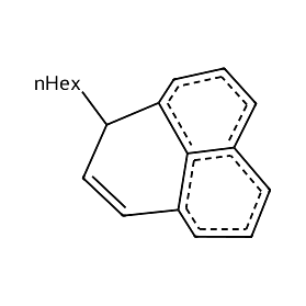 CCCCCCC1C=Cc2cccc3cccc1c23